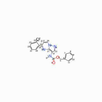 CN(C(=O)OCc1ccccc1)c1cnn2ccc(-c3ccccc3C(F)(F)F)nc12